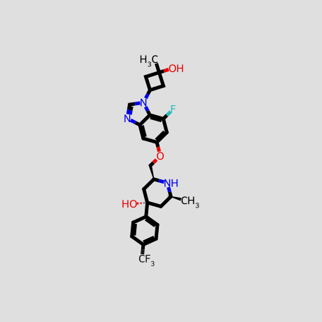 C[C@H]1C[C@@](O)(c2ccc(C(F)(F)F)cc2)C[C@@H](COc2cc(F)c3c(c2)ncn3C2CC(C)(O)C2)N1